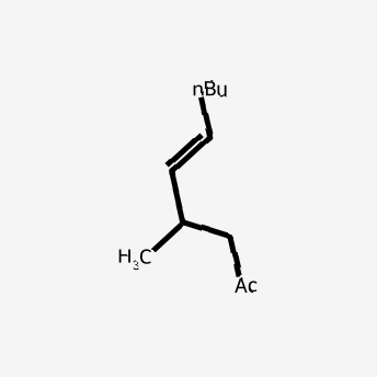 CCCCC=CC(C)CC(C)=O